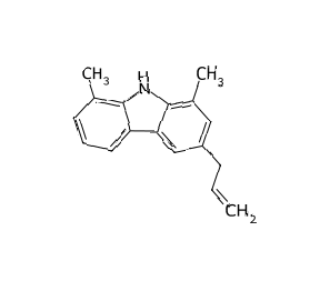 C=CCc1cc(C)c2[nH]c3c(C)cccc3c2c1